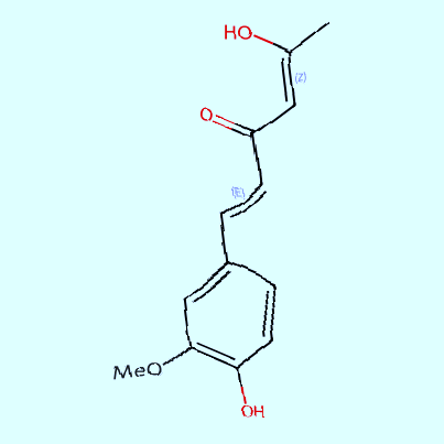 COc1cc(/C=C/C(=O)/C=C(/C)O)ccc1O